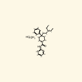 CCN(CC)CCC1(c2ccccc2)CCN(C(=O)Nc2ncccn2)CC1.Cl.O